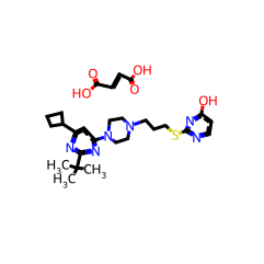 CC(C)(C)c1nc(C2CCC2)cc(N2CCN(CCCSc3nccc(O)n3)CC2)n1.O=C(O)C=CC(=O)O